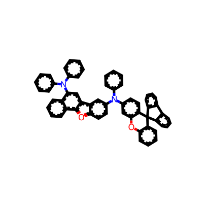 c1ccc(N(c2ccc3c(c2)Oc2ccccc2C32c3ccccc3-c3ccccc32)c2ccc3oc4c5ccccc5c(N(c5ccccc5)c5ccccc5)cc4c3c2)cc1